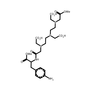 COC(=O)CN(CCN(CCN(CC(=O)O)CC(=O)NC(Cc1ccc(N)cc1)C(=O)OC)CC(=O)O)CC(=O)O